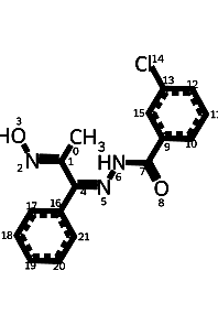 CC(=NO)C(=NNC(=O)c1cccc(Cl)c1)c1ccccc1